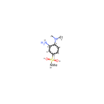 CCN(C)c1ccc(S(=O)(=O)NC)cc1N